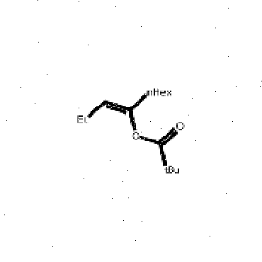 CC/C=C(/CCCCCC)OC(=O)C(C)(C)C